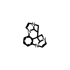 C1=CN2c3cccc4c3C3(CN5C=CN4C53)C3CN1C32